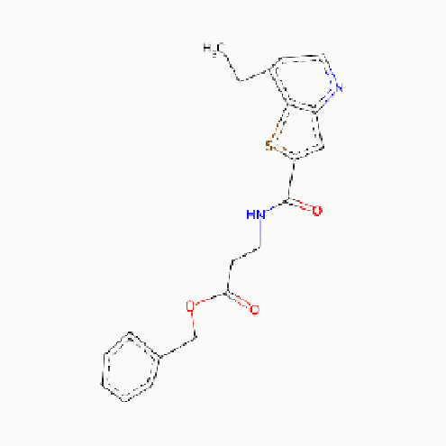 CCc1ccnc2cc(C(=O)NCCC(=O)OCc3ccccc3)sc12